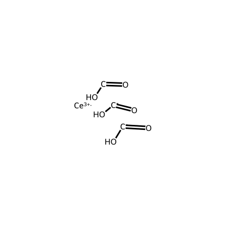 O=[C-]O.O=[C-]O.O=[C-]O.[Ce+3]